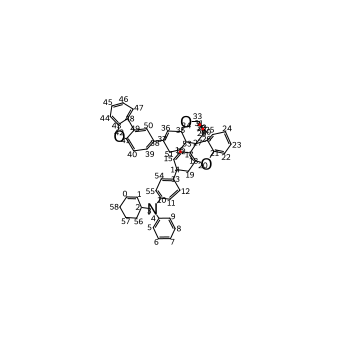 C1=CC(N(c2ccccc2)c2ccc(C3C=CC4=C(C3)Oc3ccccc3C43C4=CCCC=C4OC4C=C(c5ccc6oc7ccccc7c6c5)CCC43)cc2)CCC1